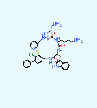 CN1C(=O)C(CCCCN)NC(=O)[C@@H](CCCN)NCc2cccnc2Sc2c(ccc(-c3ccccc3)c2Cl)CNC(=O)[C@@H]1Cc1c[nH]c2ccccc12